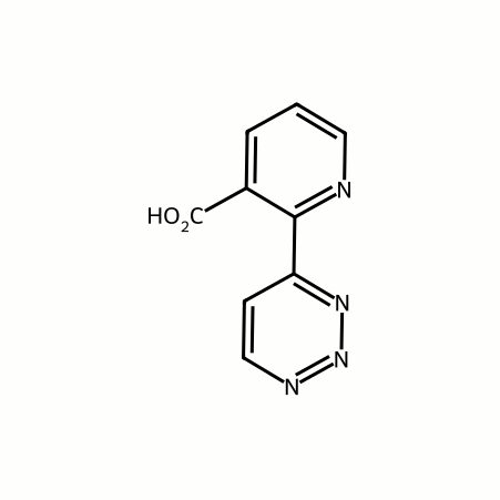 O=C(O)c1cccnc1-c1ccnnn1